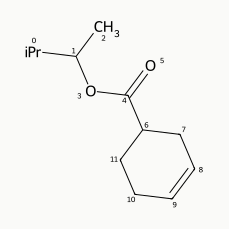 CC(C)C(C)OC(=O)C1CC=CCC1